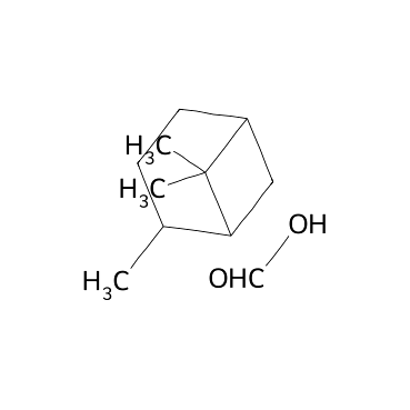 CC1CCC2CC1C2(C)C.O=CO